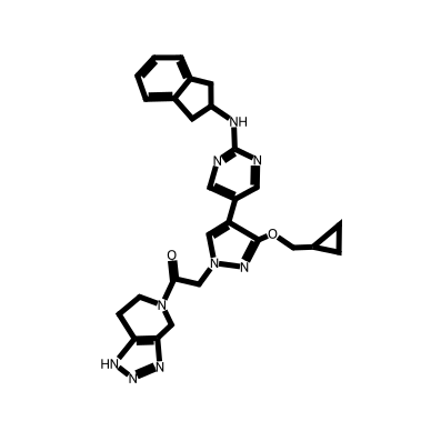 O=C(Cn1cc(-c2cnc(NC3Cc4ccccc4C3)nc2)c(OCC2CC2)n1)N1CCc2[nH]nnc2C1